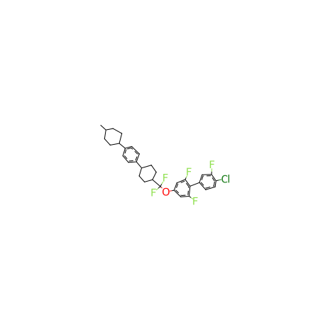 CC1CCC(c2ccc(C3CCC(C(F)(F)Oc4cc(F)c(-c5ccc(Cl)c(F)c5)c(F)c4)CC3)cc2)CC1